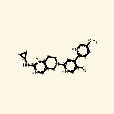 Cc1ccc(-c2cc(N3CCc4nc(NC5CC5)ncc4C3)ncc2Cl)nc1